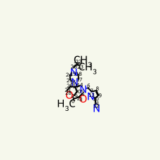 CCC1OC1N(CC1C=CC(C#N)=N1)CC1(N2CCN(CC(C)C)CC2)CCOCC1